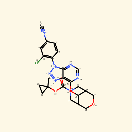 [C-]#[N+]c1ccc(-n2nnc3c(OC4C5COCC4CN(C(=O)OC4(C)CC4)C5)ncnc32)c(Cl)c1